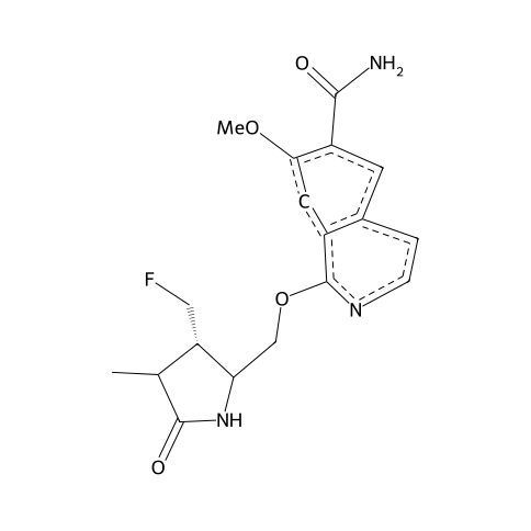 COc1cc2c(OCC3NC(=O)C(C)[C@@H]3CF)nccc2cc1C(N)=O